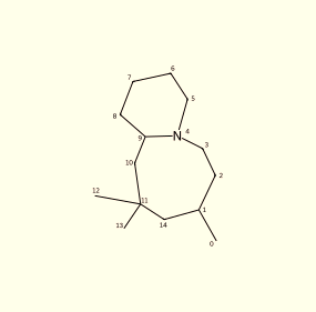 CC1CCN2CCCCC2CC(C)(C)C1